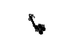 CCOC(=O)CCCCCOc1ccc(C(=O)Nc2ccccc2Sc2ccccc2-c2nnn[nH]2)cc1